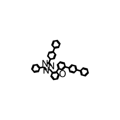 C1=CC(c2nc(-c3ccccc3)nc(-c3cccc4oc5c(-c6ccc(-c7ccccc7)cc6)cccc5c34)n2)CC=C1c1ccccc1